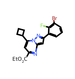 CCOC(=O)c1cc(C2CCC2)n2nc(-c3cccc(Br)c3F)cc2n1